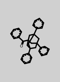 O=C(c1ccccc1)C12CC3(c4ccccc4)CC(c4ccccc4)(C1)CC(c1ccccc1)(C2)C3